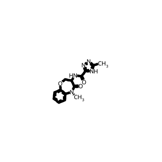 Cc1nnc(C(=O)NC2COc3ccccc3N(C)C2=O)[nH]1